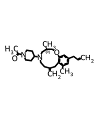 C=CCc1cc(C)c2c(c1)OC[C@H](C)CN(C1CCN(C(C)=O)CC1)CCC(=C)C2